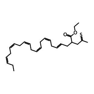 CC/C=C\C/C=C\C/C=C\C/C=C\C/C=C\C/C=C/CC(CC(C)=S)C(=O)OCC